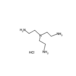 Cl.NCCN(CCN)CCN